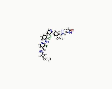 COc1cc(-c2nccc(-c3cccc(Nc4nccc(CNC5CC(C(=O)O)C5)c4F)c3Cl)c2Cl)ccc1CNC[C@@H]1CCC(=O)N1